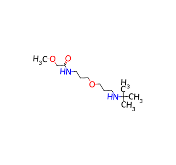 COCC(=O)NCCCOCCCNC(C)(C)C